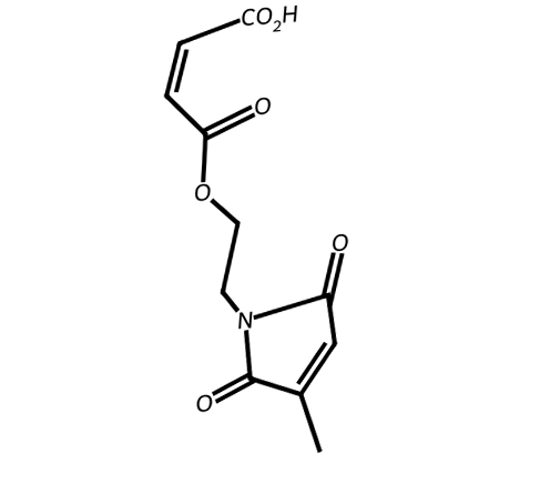 CC1=CC(=O)N(CCOC(=O)/C=C\C(=O)O)C1=O